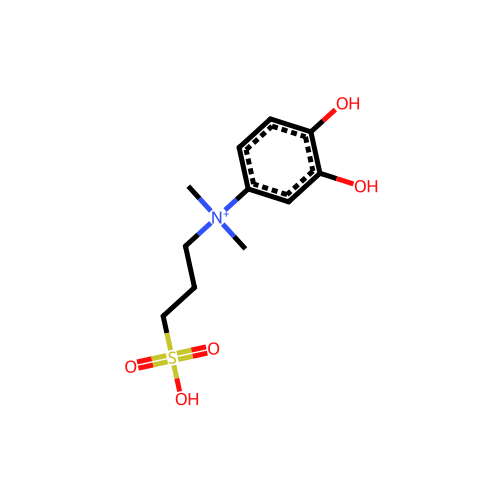 C[N+](C)(CCCS(=O)(=O)O)c1ccc(O)c(O)c1